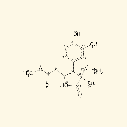 COC(=O)CCC(c1ccc(O)c(O)c1)C(C)(NN)C(=O)O